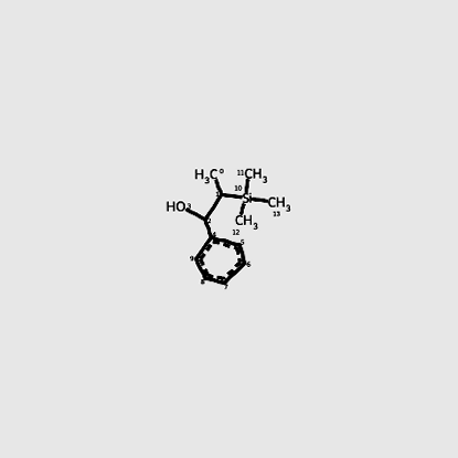 CC(C(O)c1ccccc1)[Si](C)(C)C